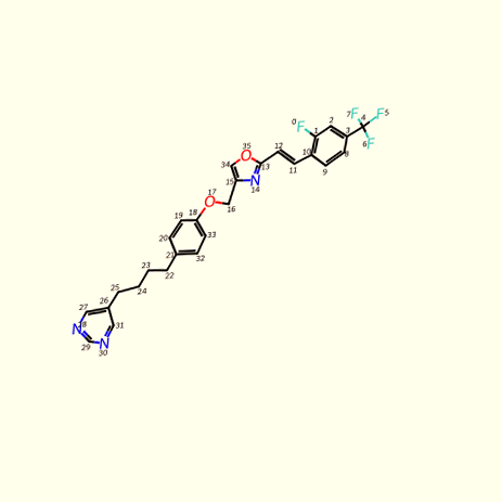 Fc1cc(C(F)(F)F)ccc1C=Cc1nc(COc2ccc(CCCCc3cncnc3)cc2)co1